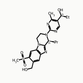 CC[C@H](O)c1cnc(N2CCn3c(nc4cc(CO)c(S(C)(=O)=O)cc43)[C@@H]2C(C)C)nc1C